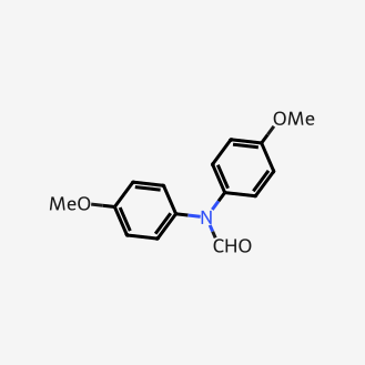 COc1ccc(N(C=O)c2ccc(OC)cc2)cc1